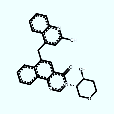 O=c1c2cc(Cc3cc(O)nc4ccccc34)c3ccccc3c2ncn1[C@H]1COCC[C@@H]1O